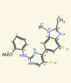 COc1c[c]ccc1Nc1ncc(F)c(-c2cc(F)c3nc(C)n(C(C)C)c3c2)n1